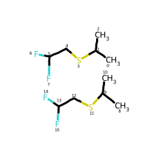 CC(C)SCC(F)F.CC(C)SCC(F)F